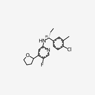 CC[C@@H](Nc1cc(C2CCCO2)c(F)cn1)c1ccc(Cl)c(C)c1